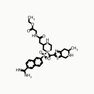 CCOC(=O)CNC(=O)CC1C[N+](C(=O)c2nc3c(s2)CNC(C)C3)(S(=O)(=O)c2ccc3cc(C(=N)N)ccc3c2)CCN1